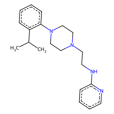 CC(C)c1ccccc1N1CCN(CCNc2ccccn2)CC1